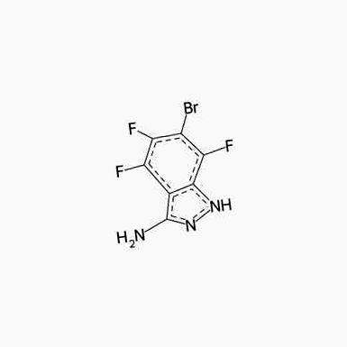 Nc1n[nH]c2c(F)c(Br)c(F)c(F)c12